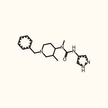 CC1CN(Cc2ccccc2)CCC1N(C)C(=O)Nc1cn[nH]c1